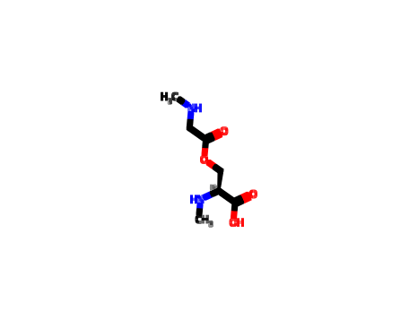 CNCC(=O)OC[C@H](NC)C(=O)O